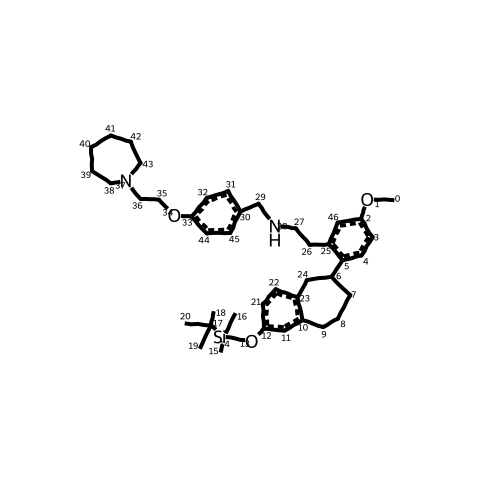 COc1ccc(C2CCCc3cc(O[Si](C)(C)C(C)(C)C)ccc3C2)c(CCNCc2ccc(OCCN3CCCCCC3)cc2)c1